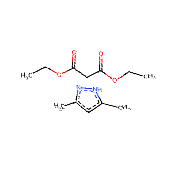 CCOC(=O)CC(=O)OCC.Cc1cc(C)[nH]n1